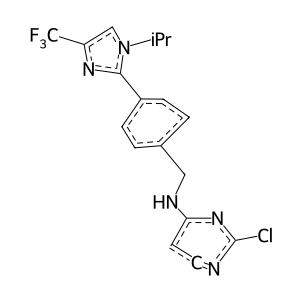 CC(C)n1cc(C(F)(F)F)nc1-c1ccc(CNc2ccnc(Cl)n2)cc1